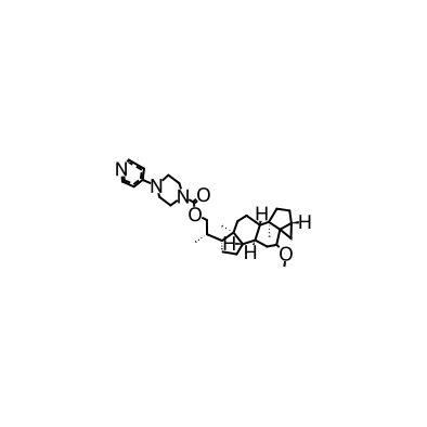 COC1C[C@H]2[C@@H]3CC[C@H]([C@H](C)COC(=O)N4CCN(c5ccncc5)CC4)[C@@]3(C)CC[C@@H]2[C@@]2(C)CC[C@@H]3CC132